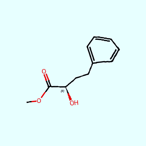 COC(=O)[C@H](O)CCc1ccccc1